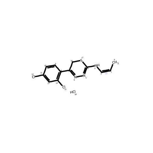 C/C=C\NC1=NN=C(c2ccc(Cl)cc2Cl)CS1.Cl